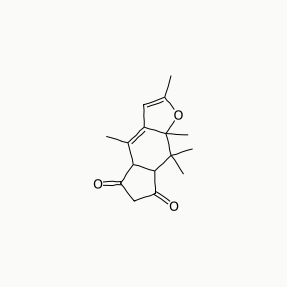 CC1=CC2=C(C)C3C(=O)CC(=O)C3C(C)(C)C2(C)O1